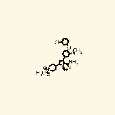 COc1cc(-c2cc(C3CCN(S(C)(=O)=O)CC3)n3ncnc(N)c23)ccc1Oc1cccc(Cl)c1